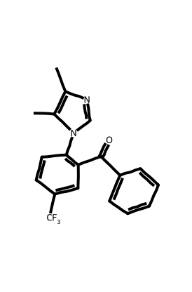 Cc1ncn(-c2ccc(C(F)(F)F)cc2C(=O)c2ccccc2)c1C